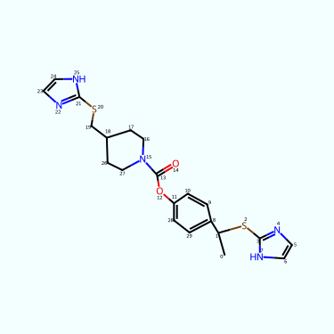 CC(Sc1ncc[nH]1)c1ccc(OC(=O)N2CCC(CSc3ncc[nH]3)CC2)cc1